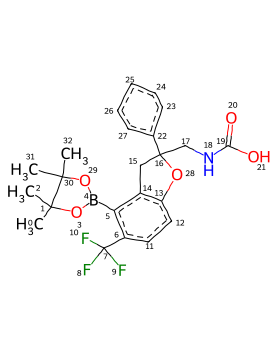 CC1(C)OB(c2c(C(F)(F)F)ccc3c2CC(CNC(=O)O)(c2ccccc2)O3)OC1(C)C